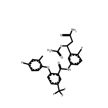 Cc1cc(F)ccc1Oc1ccc(C(F)(F)F)cc1C(=O)Nc1ccc(F)c(C(CC(N)=O)OC(N)=O)c1